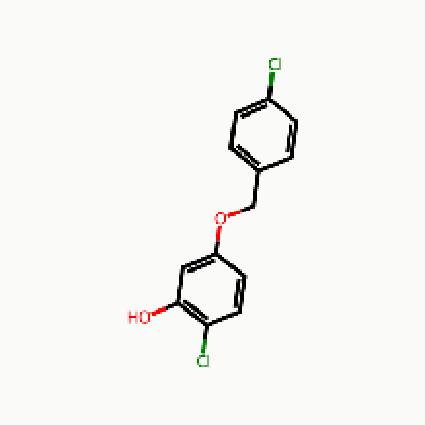 Oc1cc(OCc2ccc(Cl)cc2)ccc1Cl